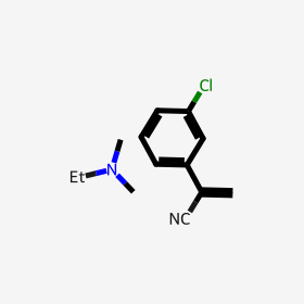 C=C(C#N)c1cccc(Cl)c1.CCN(C)C